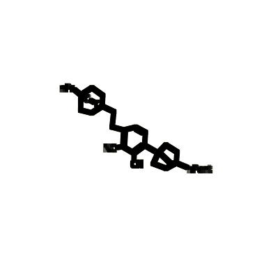 CCCCCC12CCC(c3ccc(CCC45CCC(CCC)(CC4)CC5)c(C#N)c3C#N)(CC1)CC2